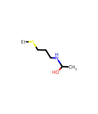 CCSCCCNC(C)O